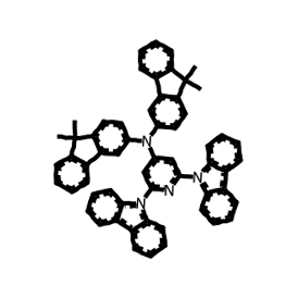 CC1(C)c2ccccc2-c2cc(N(c3cc(-n4c5ccccc5c5ccccc54)nc(-n4c5ccccc5c5ccccc54)c3)c3ccc4c(c3)-c3ccccc3C4(C)C)ccc21